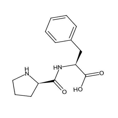 O=C(O)[C@H](Cc1ccccc1)NC(=O)[C@H]1CCCN1